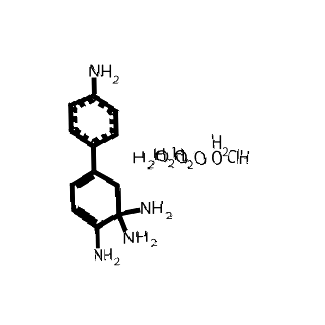 Cl.NC1=CC=C(c2ccc(N)cc2)CC1(N)N.O.O.O.O